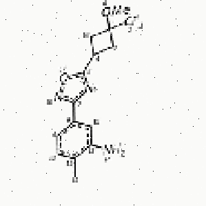 COC1(C(F)(F)F)CC(c2nc(-c3ccc(C)c(N)c3)no2)C1